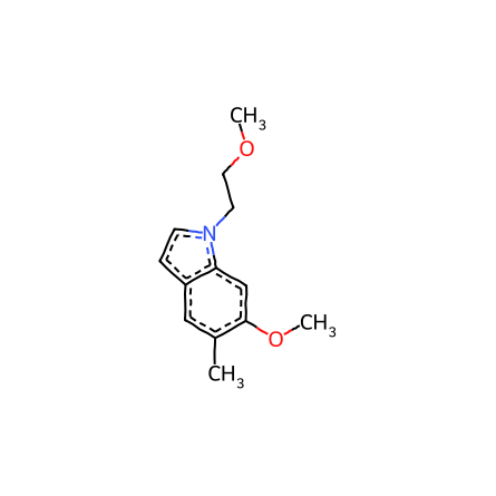 COCCn1ccc2cc(C)c(OC)cc21